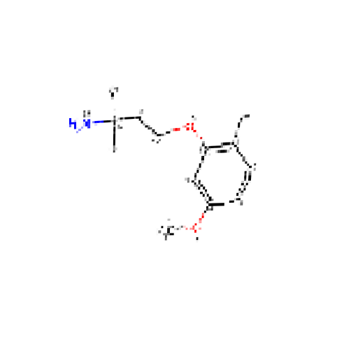 Cc1ccc(OC(F)(F)F)cc1OCCC(C)(C)N